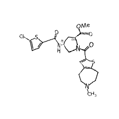 COC(=O)[C@@H]1C[C@@H](NC(=O)c2ccc(Cl)s2)CN1C(=O)c1cc2c(s1)CCN(C)CC2